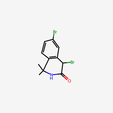 CC1(C)NC(=O)C(Br)c2cc(Br)ccc21